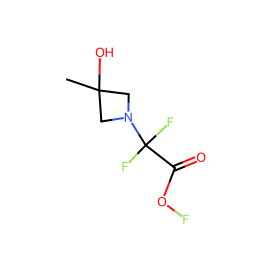 CC1(O)CN(C(F)(F)C(=O)OF)C1